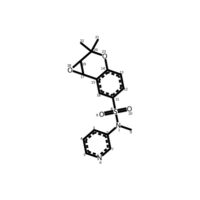 CN(c1cccnc1)S(=O)(=O)c1ccc2c(c1)C1OC1C(C)(C)O2